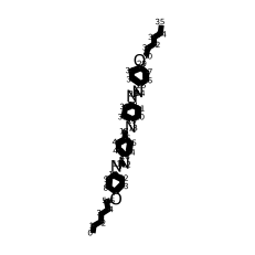 CCCCCCOc1ccc(N=Nc2ccc(C=Nc3ccc(N=Nc4ccc(OCCCCCC)cc4)cc3)cc2)cc1